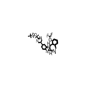 CN1Cc2cccc(OC(F)F)c2[C@H]2C[C@@H]1c1nc3ccc(-c4cnc(C(C)(C)O[Si](C)(C)C(C)(C)C)nc4)cc3n12